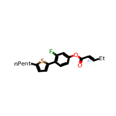 CC/C=C/C(=O)Oc1ccc(-c2ccc(CCCCC)s2)c(F)c1